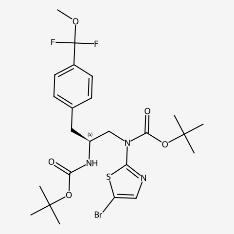 COC(F)(F)c1ccc(C[C@@H](CN(C(=O)OC(C)(C)C)c2ncc(Br)s2)NC(=O)OC(C)(C)C)cc1